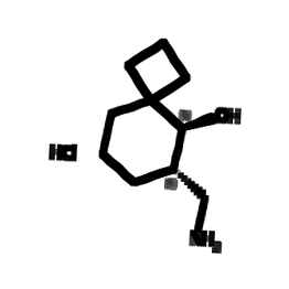 Cl.NC[C@@H]1CCCC2(CCC2)[C@H]1O